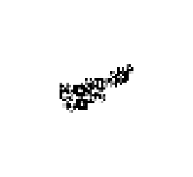 O=C(NCc1ccc(OC(F)(F)F)cc1)[C@H]1CN(c2nn3ccc(=O)nc3s2)CCN1S(=O)(=O)c1ccc(OC(F)(F)F)cc1